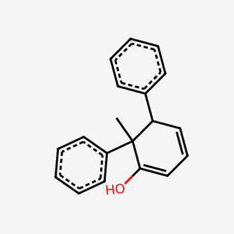 CC1(c2ccccc2)C(O)=CC=CC1c1ccccc1